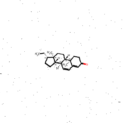 CC[C@H]1CC[C@H]2[C@@H]3C=CC4=CC(=O)CC[C@]4(C)[C@H]3CC[C@]12C